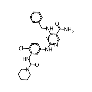 NC(=O)c1cnc(Nc2ccc(Cl)c(NC(=O)N3CCCCC3)c2)nc1NCc1ccccc1